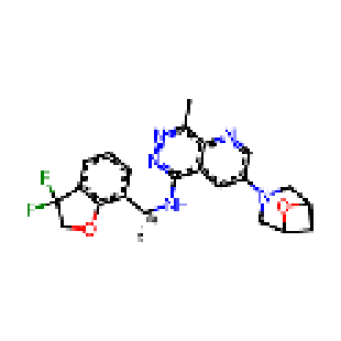 Cc1nnc(N[C@H](C)c2cccc3c2OCC3(F)F)c2cc(N3CC4CC(C3)O4)cnc12